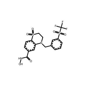 O=C(NO)c1ccc2c(c1)N(Cc1cccc(S(=O)(=O)C(F)(F)F)c1)CCS2(=O)=O